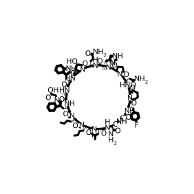 CCCC[C@H]1C(=O)N(C)[C@@H](CCCC)C(=O)N[C@@H](CC(C)C)C(=O)N[C@H](C(N)=O)CNCC(=O)N[C@@H](Cc2ccc(F)cc2)C(=O)N2CCCC[C@H]2C(=O)N[C@@H](CC(N)=O)C(=O)N2CCCC2C(=O)N[C@@H](Cc2c[nH]cn2)C(=O)N[C@@H](CCC(N)=O)C(=O)N2C[C@H](O)C[C@H]2C(=O)N[C@@H](Cc2c[nH]c3ccccc23)C(=O)N[C@@H](C)C(=O)N[C@@H](Cc2cn(CC(=O)O)c3ccccc23)C(=O)N1C